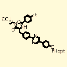 CCCCCCCOc1ccc(-c2cnc(-c3ccc(C[C@H](NC(=O)c4ccc(CC)cc4)C(=O)N[C@H](C)C(=O)O)cc3)nc2)cc1